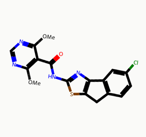 COc1ncnc(OC)c1C(=O)Nc1nc2c(s1)Cc1ccc(Cl)cc1-2